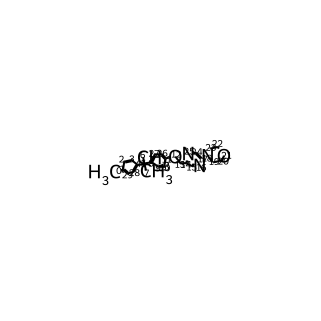 Cc1ccc(C(C)(C)c2ccc(OCc3cnc(N4CCOCC4)cn3)cc2)cc1